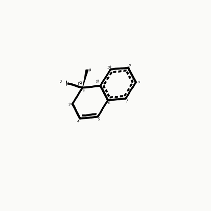 C[C@]1(I)CC=Cc2ccccc21